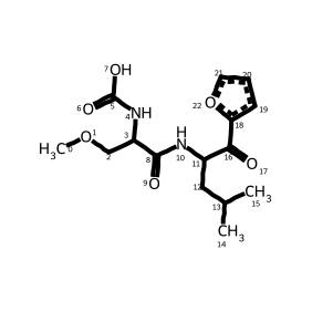 COCC(NC(=O)O)C(=O)NC(CC(C)C)C(=O)c1ccco1